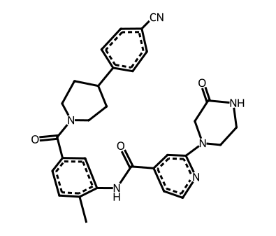 Cc1ccc(C(=O)N2CCC(c3ccc(C#N)cc3)CC2)cc1NC(=O)c1ccnc(N2CCNC(=O)C2)c1